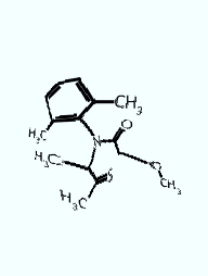 COCC(=O)N(c1c(C)cccc1C)C(C)C(C)=S